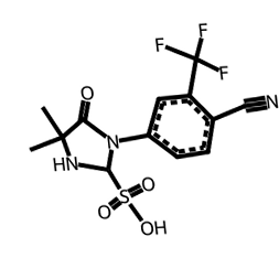 CC1(C)NC(S(=O)(=O)O)N(c2ccc(C#N)c(C(F)(F)F)c2)C1=O